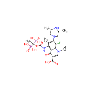 Cc1c(N2C[C@@H](C)N[C@@H](C)C2)c(F)c2c(c1NC(=O)OC(C)(P(=O)(O)O)P(=O)(O)O)c(=O)c(C(=O)O)cn2C1CC1